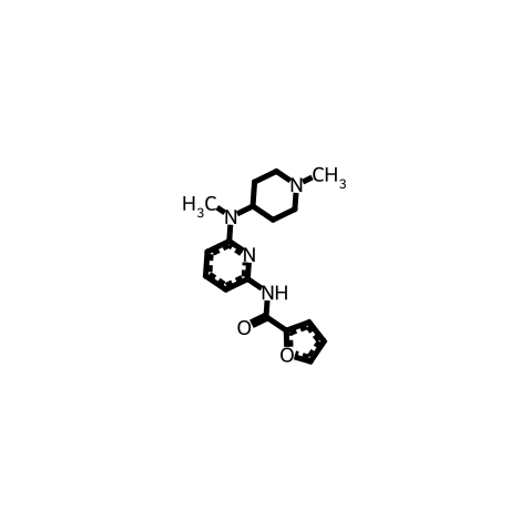 CN1CCC(N(C)c2cccc(NC(=O)c3ccco3)n2)CC1